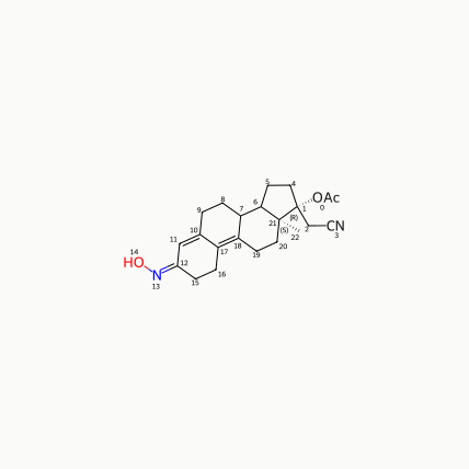 CC(=O)O[C@@]1(CC#N)CCC2C3CCC4=CC(=NO)CCC4=C3CC[C@@]21C